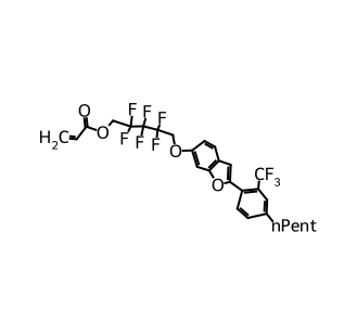 C=CC(=O)OCC(F)(F)C(F)(F)C(F)(F)COc1ccc2cc(-c3ccc(CCCCC)cc3C(F)(F)F)oc2c1